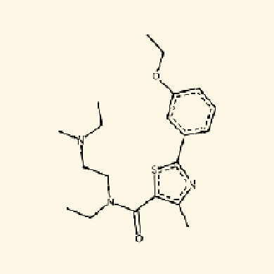 CCOc1cccc(-c2nc(C)c(C(=O)N(CC)CCN(C)CC)s2)c1